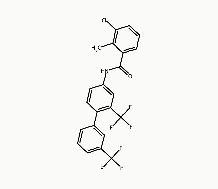 Cc1c(Cl)cccc1C(=O)Nc1ccc(-c2cccc(C(F)(F)F)c2)c(C(F)(F)F)c1